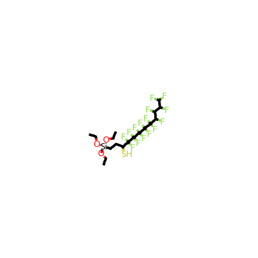 CCO[Si](CCC(S)C(F)(F)C(F)(F)C(F)(F)C(F)(F)C(F)(F)C(F)C(F)C(F)C(F)F)(OCC)OCC